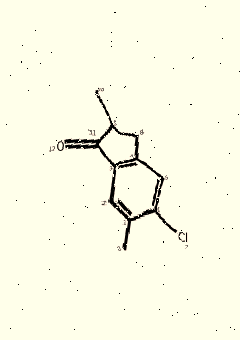 Cc1cc2c(cc1Cl)CC(C)C2=O